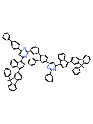 CC1(c2ccccc2)c2ccccc2-c2ccc(-c3ccc(-c4cc(-c5ccc(-c6cccc(-c7nc(-c8ccc(-c9ccccc9)cc8)cc(-c8ccc(-c9ccc%10c(c9)C(C)(c9ccccc9)c9ccccc9-%10)c9ccccc89)n7)c6)c(-c6ccccc6)c5)nc(-c5ccccc5)n4)c4ccccc34)cc21